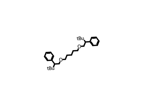 CC(C)(C)C(COCCCCCOCC(c1ccccc1)C(C)(C)C)c1ccccc1